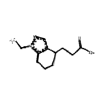 CCn1ncc2c1CCCC2CCC(=O)O